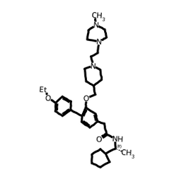 CCOc1ccc(-c2ccc(CC(=O)N[C@H](C)C3CCCCC3)cc2OCC2CCN(CCN3CCN(C)CC3)CC2)cc1